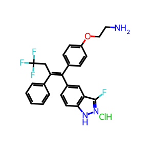 Cl.NCCOc1ccc(C(=C(CC(F)(F)F)c2ccccc2)c2ccc3[nH]nc(F)c3c2)cc1